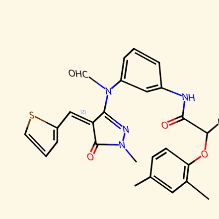 CCC(Oc1ccc(C)cc1C)C(=O)Nc1cccc(N(C=O)C2=NN(C)C(=O)/C2=C\c2cccs2)c1